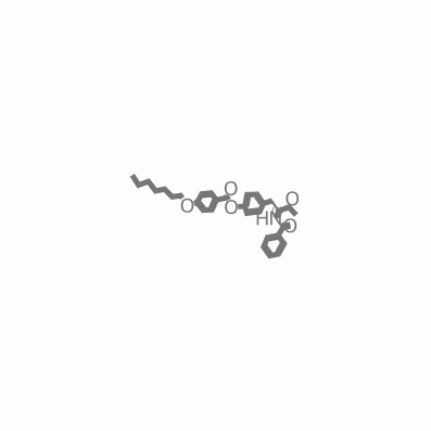 CCCCCCCOc1ccc(C(=O)Oc2ccc(C[C@H](NC(=O)c3ccccc3)C(C)=O)cc2)cc1